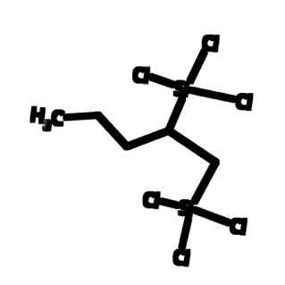 CCCC(C[Si](Cl)(Cl)Cl)[Si](Cl)(Cl)Cl